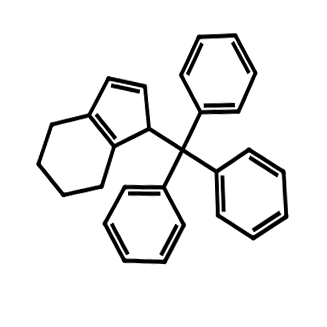 C1=CC(C(c2ccccc2)(c2ccccc2)c2ccccc2)C2=C1CCCC2